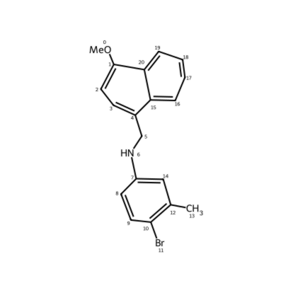 COc1ccc(CNc2ccc(Br)c(C)c2)c2ccccc12